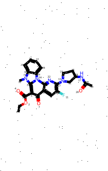 CCOC(=O)c1c(=O)c2cc(F)c(N3CCC(NC(C)=O)C3)nc2n2c3ccccc3n(C)c12